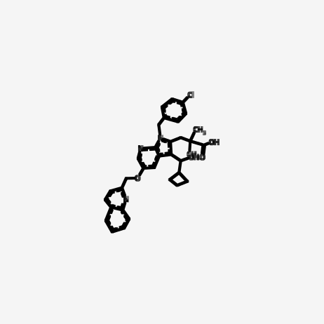 CC(C)(Cc1c(C(O)C2CCC2)c2cc(OCc3ccc4ccccc4n3)cnc2n1Cc1ccc(Cl)cc1)C(=O)O